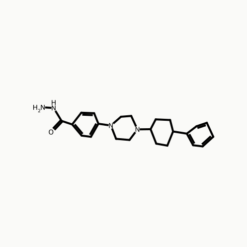 NNC(=O)c1ccc(N2CCN(C3CCC(c4ccccc4)CC3)CC2)cc1